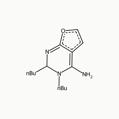 CCCCC1N=c2occc2=C(N)N1CCCC